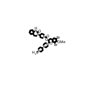 COc1c(Br)cc(CC(OC(=O)N2CCC(N3CCc4ccccc4NC3=O)CC2)C(=O)N2CCN(C3CCN(C)CC3)CC2)cc1Br